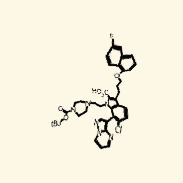 CC(C)(C)OC(=O)N1CCN(CCn2c(C(=O)O)c(CCCOc3cccc4cc(F)ccc34)c3ccc(Cl)c(-c4cnn5cccnc45)c32)CC1